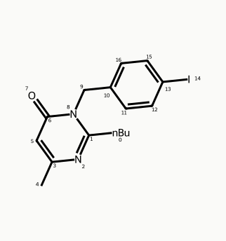 CCCCc1nc(C)cc(=O)n1Cc1ccc(I)cc1